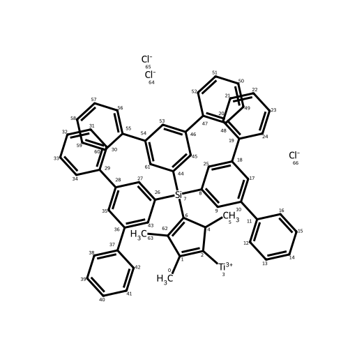 CC1=[C]([Ti+3])C(C)C([Si](c2cc(-c3ccccc3)cc(-c3ccccc3)c2)(c2cc(-c3ccccc3)cc(-c3ccccc3)c2)c2cc(-c3ccccc3)cc(-c3ccccc3)c2)=C1C.[Cl-].[Cl-].[Cl-]